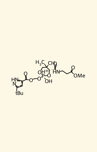 COC(=O)CCNC(=O)[C@@H]1O[PH](O)(OCOC(=O)c2cc(C(C)(C)C)n[nH]2)OCC1(C)C